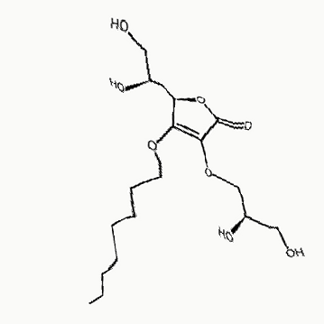 CCCCCCCCOC1=C(OC[C@H](O)CO)C(=O)O[C@@H]1[C@@H](O)CO